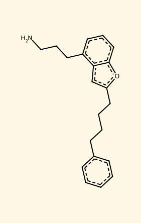 NCCCc1cccc2oc(CCCCc3ccccc3)cc12